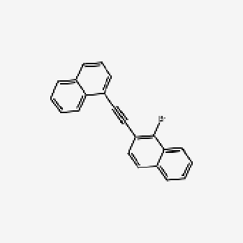 Brc1c(C#Cc2cccc3ccccc23)ccc2ccccc12